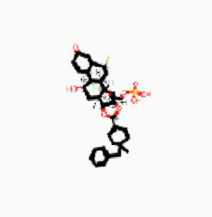 CC1(Cc2ccccc2)C=CC([C@@H]2O[C@@H]3C[C@H]4[C@@H]5C[C@H](F)C6=CC(=O)C=C[C@]6(C)[C@@]5(F)[C@@H](O)C[C@]4(C)[C@]3(C(=O)COP(=O)(O)O)O2)=CC1